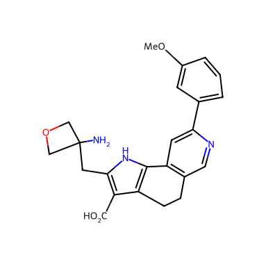 COc1cccc(-c2cc3c(cn2)CCc2c-3[nH]c(CC3(N)COC3)c2C(=O)O)c1